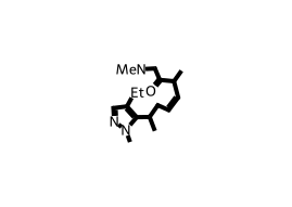 CCc1cnn(C)c1C(C)C/C=C\C(C)C(=O)CNC